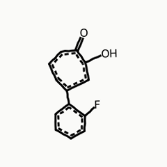 O=c1cccc(-c2ccccc2F)cc1O